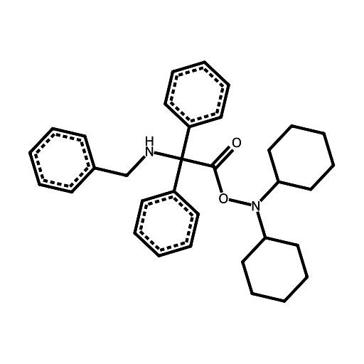 O=C(ON(C1CCCCC1)C1CCCCC1)C(NCc1ccccc1)(c1ccccc1)c1ccccc1